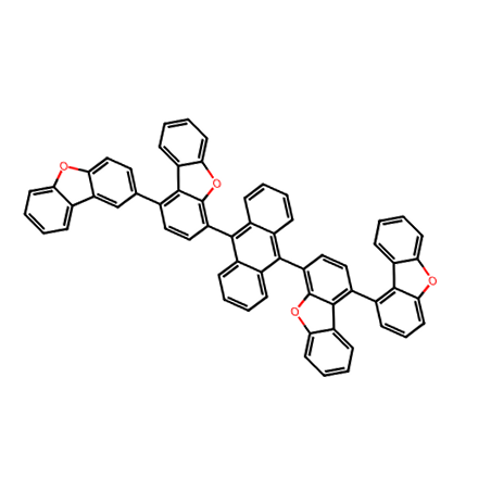 c1ccc2c(c1)oc1ccc(-c3ccc(-c4c5ccccc5c(-c5ccc(-c6cccc7oc8ccccc8c67)c6c5oc5ccccc56)c5ccccc45)c4oc5ccccc5c34)cc12